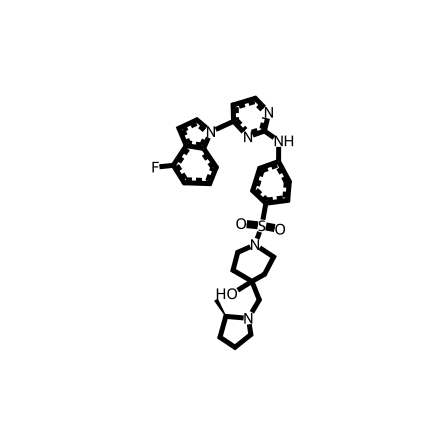 C[C@@H]1CCCN1CC1(O)CCN(S(=O)(=O)c2ccc(Nc3nccc(-n4ccc5c(F)cccc54)n3)cc2)CC1